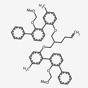 C=CCCC(COc1ccc(C)cc1-c1cccc(-c2ccccc2)c1OCOC)COc1ccc(C)cc1-c1cccc(-c2ccccc2)c1OCOC